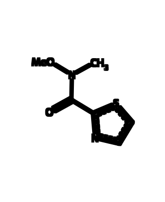 CON(C)C(=O)c1nccs1